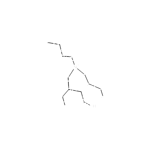 CCCCN(CCCC)CC(CC)CCS